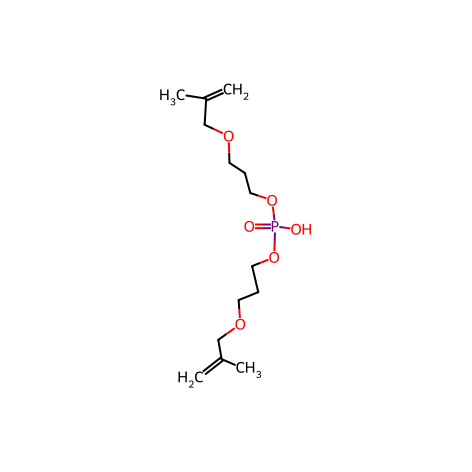 C=C(C)COCCCOP(=O)(O)OCCCOCC(=C)C